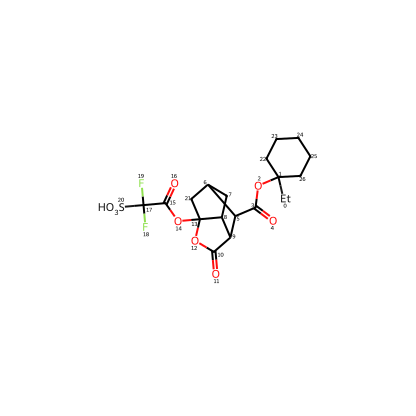 CCC1(OC(=O)C2C3CC4C2C(=O)OC4(OC(=O)C(F)(F)S(=O)(=O)O)C3)CCCCC1